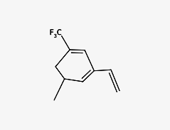 C=CC1=CC(C)CC(C(F)(F)F)=C1